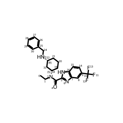 CCN(C(=O)c1nc2cc(C(F)(F)F)ccc2[nH]1)[C@H]1CCC[C@@H](NCc2ccccc2)C1